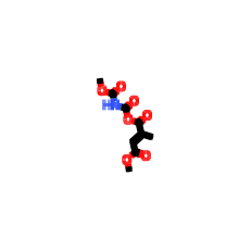 COC(=O)/C=C(\C)C(=O)OC(=O)NC(=O)OC